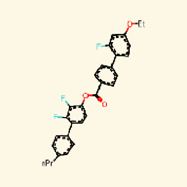 CCCc1ccc(-c2ccc(OC(=O)c3ccc(-c4ccc(OCC)cc4F)cc3)c(F)c2F)cc1